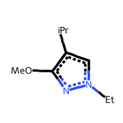 CCn1cc(C(C)C)c(OC)n1